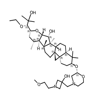 CCO[C@@H]([C@H]1C[C@@H](C)[C@H]2[C@H](O1)[C@H](O)[C@@]1(C)[C@@H]3CC[C@H]4C(C)(C)[C@@H](O[C@H]5CN(CC6(O)CN(CCOC)C6)CCO5)CC[C@@]45C[C@@]35CC[C@]21C)C(C)(C)O